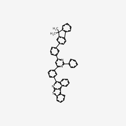 CC1(C)c2ccccc2-c2ccc(-c3cccc(-c4cc(-c5cccc(-c6nc7sc8ccccc8c7c7ccccc67)c5)nc(-c5ccccc5)n4)c3)cc21